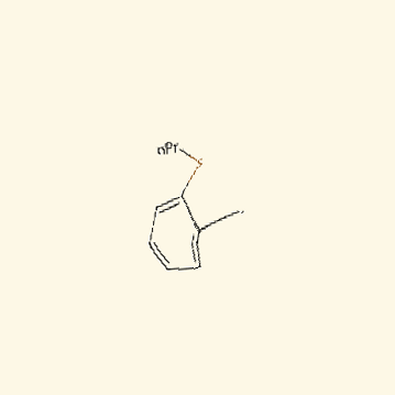 [CH2]c1ccccc1SCCC